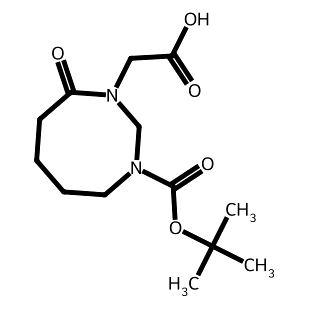 CC(C)(C)OC(=O)N1CCCCC(=O)N(CC(=O)O)C1